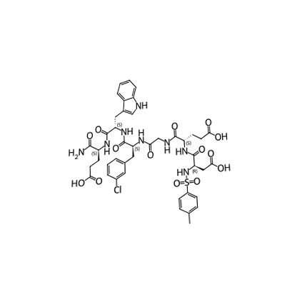 Cc1ccc(S(=O)(=O)N[C@H](CC(=O)O)C(=O)N[C@@H](CCC(=O)O)C(=O)NCC(=O)N[C@@H](Cc2cccc(Cl)c2)C(=O)N[C@@H](Cc2c[nH]c3ccccc23)C(=O)N[C@@H](CCC(=O)O)C(N)=O)cc1